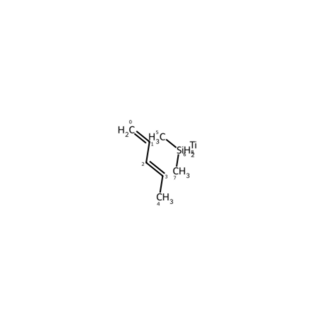 C=CC=CC.C[SiH2]C.[Ti]